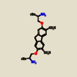 CCCCC(N)COc1cc2c(cc1S(=O)(=O)O)-c1cc(S(=O)(=O)O)c(OCC(N)CCCC)cc1C2